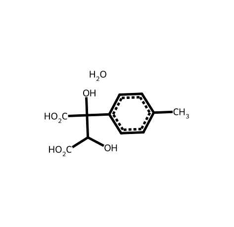 Cc1ccc(C(O)(C(=O)O)C(O)C(=O)O)cc1.O